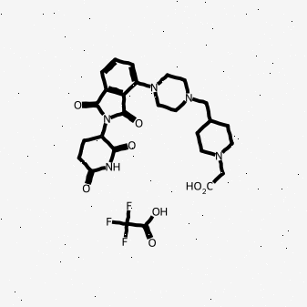 O=C(O)C(F)(F)F.O=C(O)CN1CCC(CN2CCN(c3cccc4c3C(=O)N(C3CCC(=O)NC3=O)C4=O)CC2)CC1